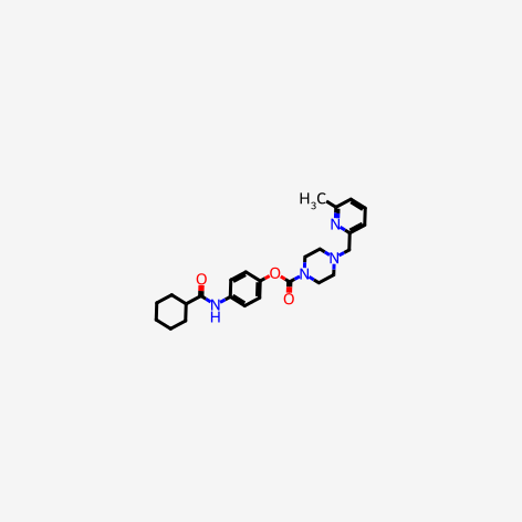 Cc1cccc(CN2CCN(C(=O)Oc3ccc(NC(=O)C4CCCCC4)cc3)CC2)n1